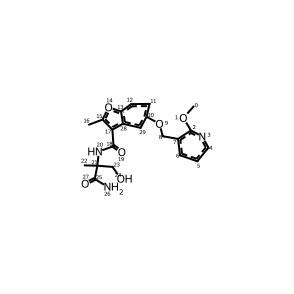 COc1ncccc1COc1ccc2oc(C)c(C(=O)NC(C)(CO)C(N)=O)c2c1